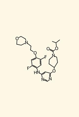 CC(C)OC(=O)N1CCC(Oc2cc(Nc3cc(F)c(OCCN4CCOCC4)cc3F)ncn2)CC1